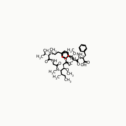 CC[C@H](C)[C@@H]([C@@H](CC(=O)N1CCC[C@H]1[C@H](OC)[C@@H](C)C(=O)N(N)[C@@H](Cc1ccccc1)C(=O)O)OC)N(C)C(=O)CNC(=O)[C@H](C(C)C)N(C)CCc1ccc(N)cc1